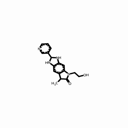 CC1C(=O)N(CCO)c2cc3c(cc21)NC(c1cccnc1)N3